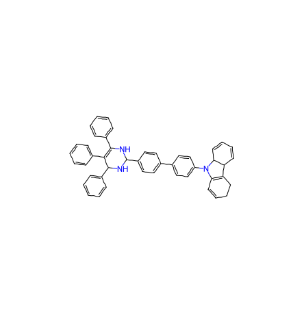 C1=CC2C3=C(C=CCC3)N(c3ccc(-c4ccc(C5NC(c6ccccc6)=C(c6ccccc6)C(c6ccccc6)N5)cc4)cc3)C2C=C1